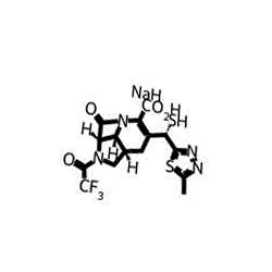 Cc1nnc([C@@H](S)C2=C(C(=O)O)N3C(=O)[C@@H]4[C@H]3[C@H](C2)CN4C(=O)C(F)(F)F)s1.[NaH]